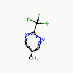 [CH2]c1cnc(C(F)(F)F)nc1